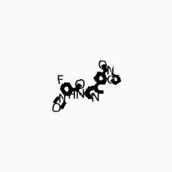 Cc1ncc(NC(=O)c2cc(F)cc(N3CCOCC3)c2)cc1-c1ccc(C(=O)N(C)C2CCCO2)cc1